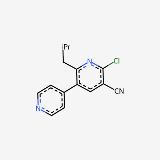 CC(C)Cc1nc(Cl)c(C#N)cc1-c1ccncc1